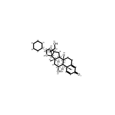 C[C@]12C=CC(=O)C=C1CC[C@@H]1[C@@H]2[C@@H](O)C[C@@]2(C)[C@H]1CC1O[C@@H](C3CCCCC3)O[C@]12C(=O)CO